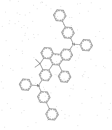 CC1(C)c2cc(N(c3ccccc3)c3ccc(-c4ccccc4)cc3)ccc2-c2c(-c3ccccc3)c3ccc(N(c4ccccc4)c4ccc(-c5ccccc5)cc4)cc3c3cccc1c23